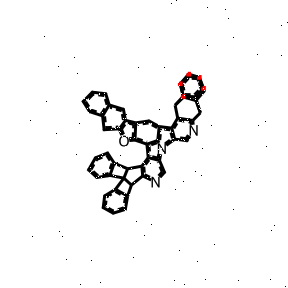 c1ccc2c(c1)C1c3ccccc3C2c2c1ncc1c2c2cc3c4cc5ccccc5cc4oc3c3c4c5c(ncc4n1c23)C1c2ccccc2C12c1ccccc1C52